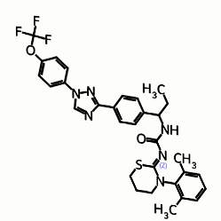 CCC(NC(=O)/N=C1\SCCCN1c1c(C)cccc1C)c1ccc(-c2ncn(-c3ccc(OC(F)(F)F)cc3)n2)cc1